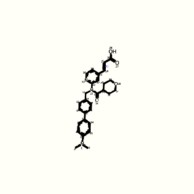 CN(C)c1ccc(-c2ccc(CN(C(=O)C3CCOCC3)c3cc(/C=C/C(=O)O)ccn3)cc2)cc1